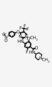 COc1cc(C(=O)NC2CCN(C)CC2)c(F)cc1Nc1ncc(C(F)(F)F)c(Oc2ccc([N+](=O)[O-])cc2)n1